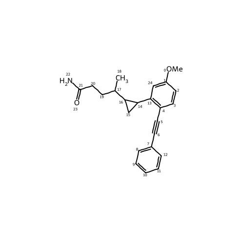 COc1ccc(C#Cc2ccccc2)c(C2CC2C(C)CCC(N)=O)c1